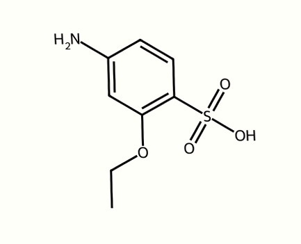 CCOc1cc(N)ccc1S(=O)(=O)O